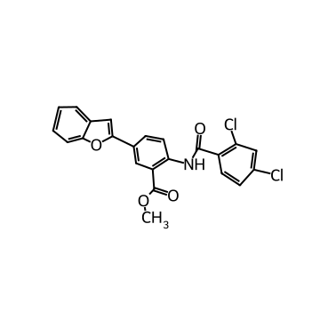 COC(=O)c1cc(-c2cc3ccccc3o2)ccc1NC(=O)c1ccc(Cl)cc1Cl